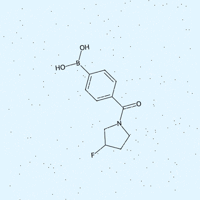 O=C(c1ccc(B(O)O)cc1)N1CCC(F)C1